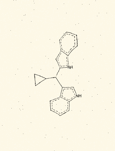 c1ccc2[nH]c(C(c3c[nH]c4ccccc34)C3CC3)cc2c1